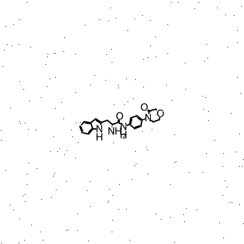 N[C@H](Cc1cc2ccccc2[nH]1)C(=O)Nc1ccc(N2CCOCC2=O)cc1